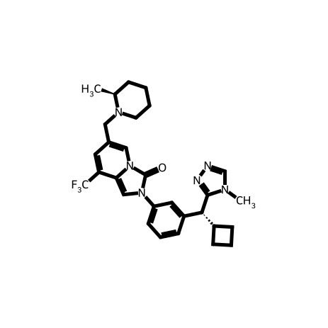 C[C@H]1CCCCN1Cc1cc(C(F)(F)F)c2cn(-c3cccc([C@H](c4nncn4C)C4CCC4)c3)c(=O)n2c1